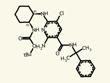 CC(C)(C)OC(=O)N[C@H]1CCCC[C@H]1Nc1nc(N)c(C(=O)NC(C)(C)c2ccccc2)cc1Cl